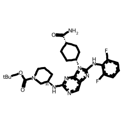 CC(C)(C)OC(=O)N1CCC[C@@H](Nc2ncc3nc(Nc4c(F)cccc4F)n([C@H]4CC[C@@H](C(N)=O)CC4)c3n2)C1